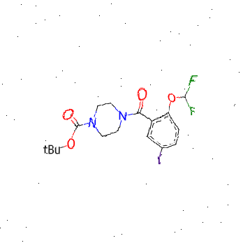 CC(C)(C)OC(=O)N1CCN(C(=O)c2cc(I)ccc2OC(F)F)CC1